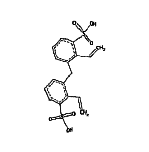 C=Cc1c(Cc2cccc(S(=O)(=O)O)c2C=C)cccc1S(=O)(=O)O